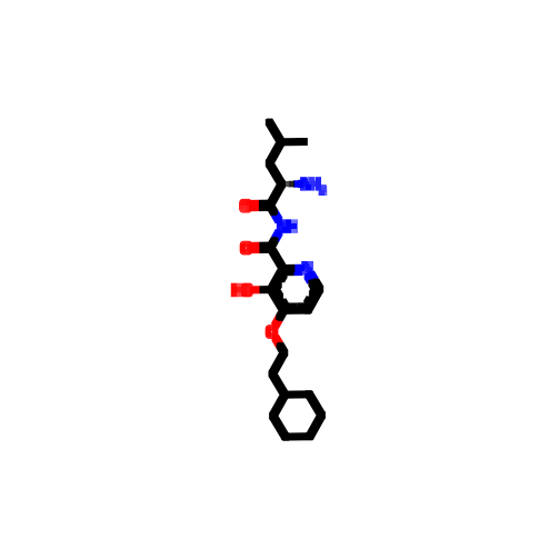 CC(C)C[C@H](N)C(=O)NC(=O)c1nccc(OCCC2CCCCC2)c1O